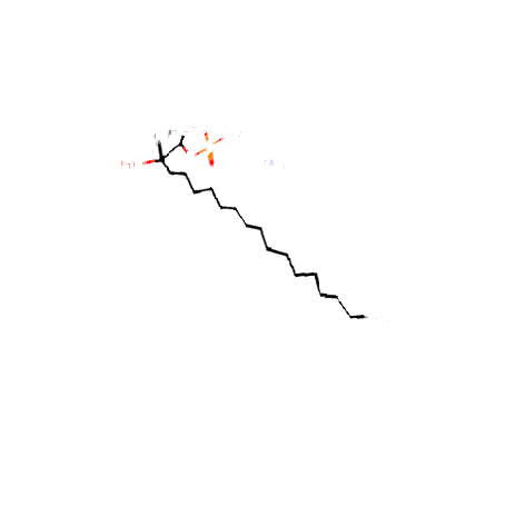 CCCCCCCCCCCCCCCCC(C)(O)C(C)OP(=O)(O)O.N